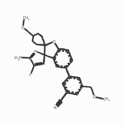 COCc1cc(C#N)cc(-c2ccc3c(c2)C2(C=C(F)C(N)=N2)C2(CCC(OC)CC2)O3)c1